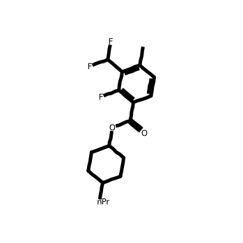 CCCC1CCC(OC(=O)c2ccc(C)c(C(F)F)c2F)CC1